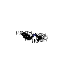 C/C(CO[C@@H]1O[C@H](CO)[C@@H](O)[C@H](O)[C@H]1O)=C(\C)C[C@@H](O)[C@@H](C)[C@H]1CC[C@H]2[C@@H]3CC=C4C[C@@H](O)C[C@H](O)[C@]4(C)[C@H]3CC[C@]12C